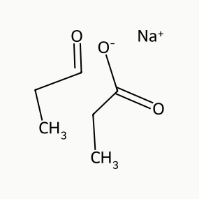 CCC(=O)[O-].CCC=O.[Na+]